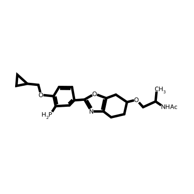 CC(=O)NC(C)COC1CCc2nc(-c3ccc(OCC4CC4)c(P)c3)oc2C1